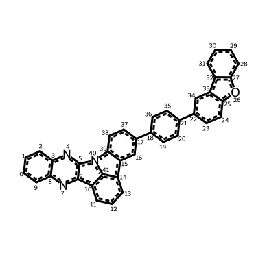 c1ccc2nc3c(nc2c1)c1cccc2c4cc(-c5ccc(-c6ccc7oc8ccccc8c7c6)cc5)ccc4n3c21